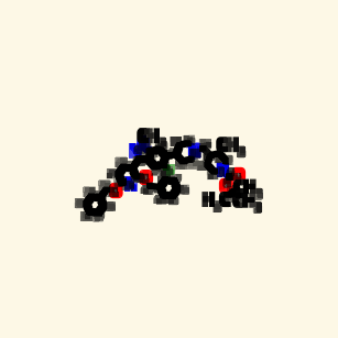 C[C@H]1CN(C(=O)OC(C)(C)C)CC[C@H]1CN1CC=C(c2cc3c(cc2F)c(-c2ccc(OCc4ccccc4)nc2OCc2ccccc2)nn3C)CC1